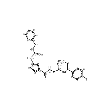 Cc1ccc(C(CC(=O)O)NC(=O)CNC(=O)c2csc(NC(=O)NCc3ccccc3)c2)cc1